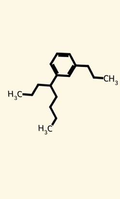 CCCCC(CCC)c1cccc(CCC)c1